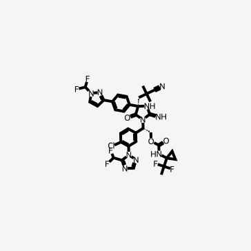 CC(C)(C#N)C[C@]1(c2ccc(-c3ccn(C(F)F)n3)cc2)NC(=N)N([C@H](COC(=O)NC2(C(C)(F)F)CC2)c2ccc(Cl)c(-n3ncnc3C(F)F)c2)C1=O